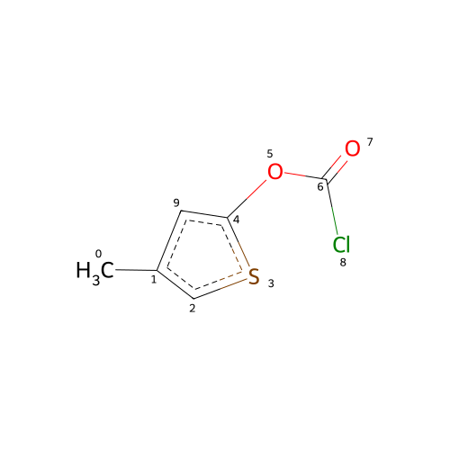 Cc1csc(OC(=O)Cl)c1